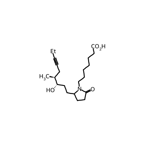 CCC#CC[C@H](C)[C@@H](O)CCC1CCC(=O)N1CCCCCCC(=O)O